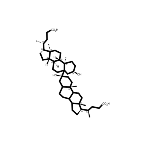 C[C@H](CCC(=O)O)[C@H]1CC[C@H]2[C@@H]3CCC4([C@]5(O)CC[C@@]6(C)C(CCC7C6CC[C@@]6(C)C7CC[C@@H]6[C@H](C)CCC(=O)O)C5)C[C@H](O)CC[C@]4(C)[C@H]3CC[C@]12C